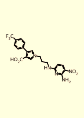 Nc1nc(NCCCn2cc(C(=O)O)c(-c3ccc(C(F)(F)F)cc3)c2)ccc1[N+](=O)[O-]